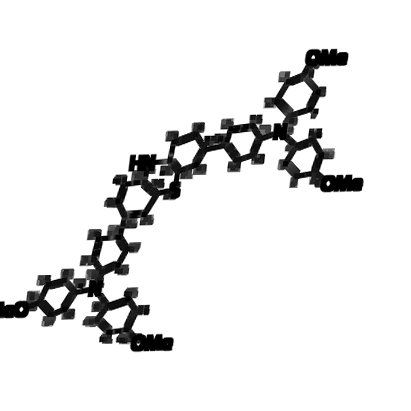 COc1ccc(N(c2ccc(OC)cc2)c2ccc(-c3ccc4c(c3)Sc3cc(-c5ccc(N(c6ccc(OC)cc6)c6ccc(OC)cc6)cc5)ccc3N4)cc2)cc1